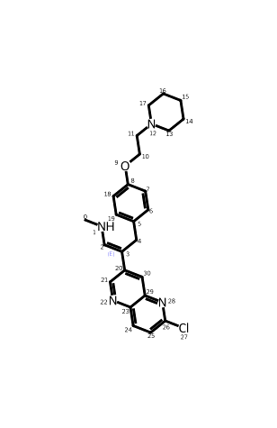 CN/C=C(\Cc1ccc(OCCN2CCCCC2)cc1)c1cnc2ccc(Cl)nc2c1